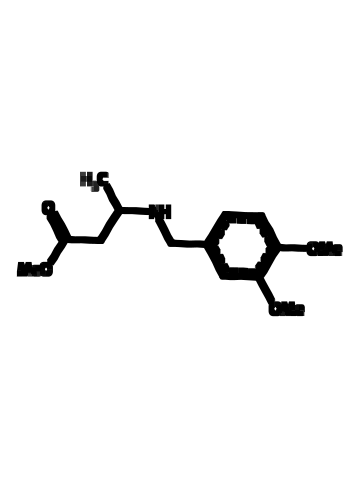 COC(=O)CC(C)NCc1ccc(OC)c(OC)c1